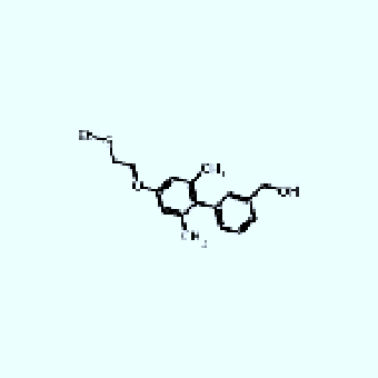 CCSCCOc1cc(C)c(-c2cccc(CO)c2)c(C)c1